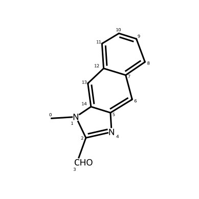 Cn1c(C=O)nc2cc3ccccc3cc21